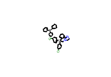 Clc1ccc([Si](Cn2ccnc2)(c2ccccc2)c2ccc(Cl)cc2)cc1.c1ccc(B(c2ccccc2)c2ccccc2)cc1